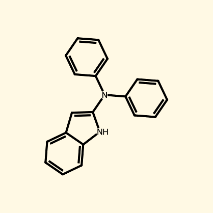 c1ccc(N(c2ccccc2)c2cc3ccccc3[nH]2)cc1